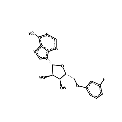 Oc1ncnc2c1ncn2[C@@H]1O[C@H](COc2cccc(F)c2)[C@@H](O)[C@H]1O